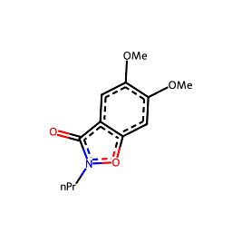 CCCn1oc2cc(OC)c(OC)cc2c1=O